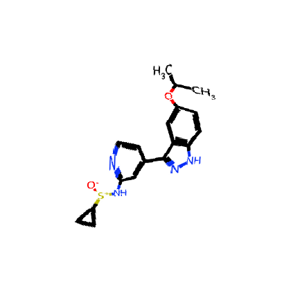 CC(C)Oc1ccc2[nH]nc(-c3ccnc(N[S@@+]([O-])C4CC4)c3)c2c1